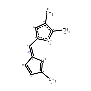 CC1=N/C(=C\c2cc(C)c(C)[nH]2)C=C1